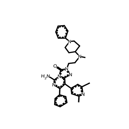 Cc1cc(-c2c(-c3ccccc3)nc(N)n3c(=O)n(CCN(C)C4CCN(c5ccccc5)CC4)nc23)cc(C)n1